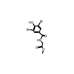 COC(=O)CNC(=O)c1cc(Br)c(O)c(Br)c1